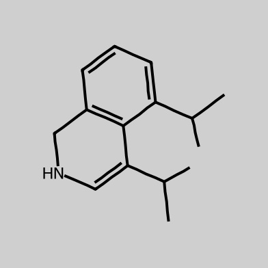 CC(C)C1=CNCc2cccc(C(C)C)c21